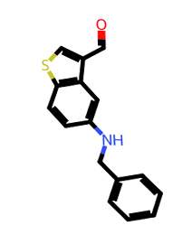 O=Cc1csc2ccc(NCc3ccccc3)cc12